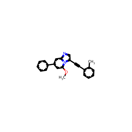 COc1cc(-c2ccccc2)cc2ncc(C#Cc3ccccc3C)n12